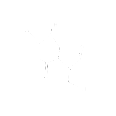 CCN(C=O)C(CN(C)C=O)C(=O)O